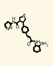 CN1CC(C(=O)Nc2cccnn2)C(c2ccc(/C=C/C(=O)Nc3ccccc3N)cc2)C1